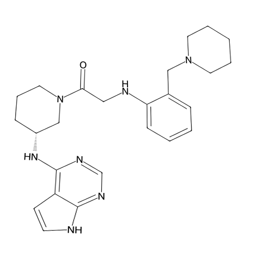 O=C(CNc1ccccc1CN1CCCCC1)N1CCC[C@@H](Nc2ncnc3[nH]ccc23)C1